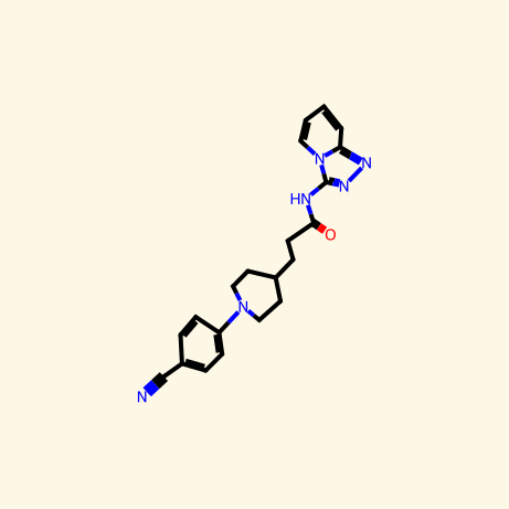 N#Cc1ccc(N2CCC(CCC(=O)Nc3nnc4ccccn34)CC2)cc1